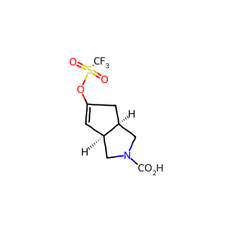 O=C(O)N1C[C@@H]2CC(OS(=O)(=O)C(F)(F)F)=C[C@@H]2C1